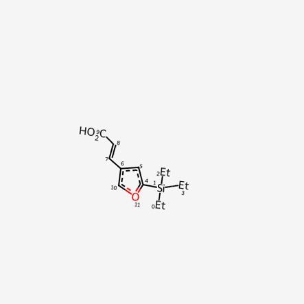 CC[Si](CC)(CC)c1cc(C=CC(=O)O)co1